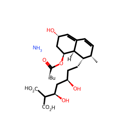 CC[C@H](C)C(=O)O[C@H]1C[C@H](O)C=C2C=C[C@H](C)[C@H](CC[C@@H](O)C[C@@H](O)C(C(=O)O)C(=O)O)[C@H]21.N